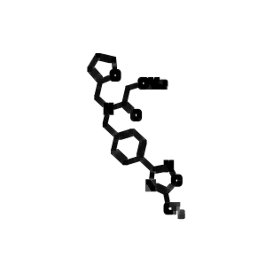 COCC(=O)N(Cc1ccc(-c2noc(C(F)(F)F)n2)cc1)Cc1ccco1